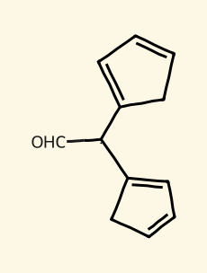 O=C[C](C1=CC=CC1)C1=CC=CC1